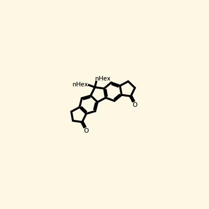 CCCCCCC1(CCCCCC)c2cc3c(cc2-c2cc4c(cc21)CCC4=O)C(=O)CC3